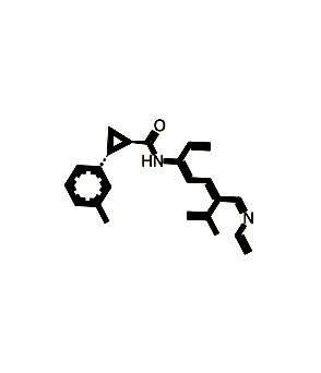 C=C\N=C/C(=C/C=C(\C=C)NC(=O)[C@@H]1C[C@H]1c1cccc(C)c1)C(=C)C